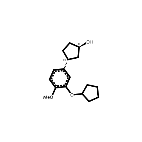 COc1ccc([C@@H]2CC[C@@H](O)C2)cc1OC1CCCC1